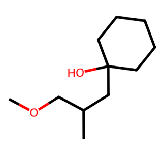 COCC(C)CC1(O)CCCCC1